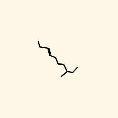 [CH2]CC(C)CCCC=CCC